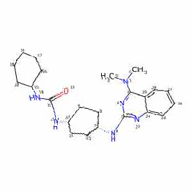 CN(C)c1nc(N[C@H]2CC[C@@H](NC(=O)NC3CCCCC3)CC2)nc2ccccc12